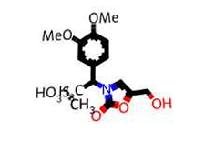 COc1ccc(C(C)n2cc(CO)oc2=O)cc1OC.CS(=O)(=O)O